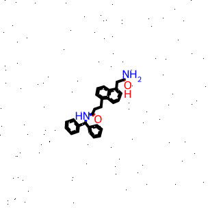 NC(O)Cc1cccc2c(CCC(=O)NC(c3ccccc3)c3ccccc3)cccc12